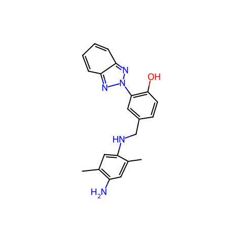 Cc1cc(NCc2ccc(O)c(-n3nc4ccccc4n3)c2)c(C)cc1N